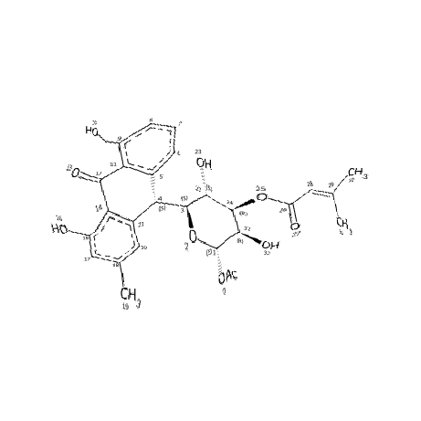 CC(=O)O[C@@H]1O[C@@H]([C@H]2c3cccc(O)c3C(=O)c3c(O)cc(C)cc32)[C@H](O)[C@@H](OC(=O)C=C(C)C)[C@H]1O